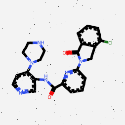 O=C(Nc1cnccc1N1CCNCC1)c1cccc(N2Cc3c(Cl)cccc3C2=O)n1